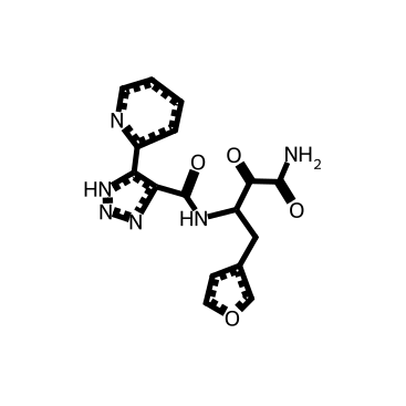 NC(=O)C(=O)C(Cc1ccoc1)NC(=O)c1nn[nH]c1-c1ccccn1